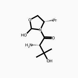 CC(C)[C@H]1COC(O)N1C(=O)[C@@H](N)C(C)(C)O